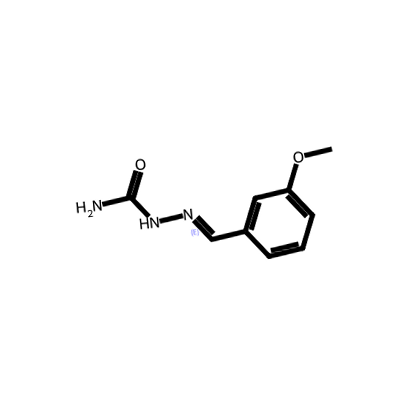 COc1cccc(/C=N/NC(N)=O)c1